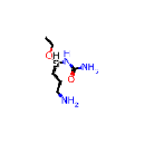 CCO[SiH](CCCN)NC(N)=O